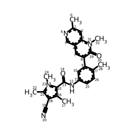 Cc1cc2c(cn1)cc(-c1cc(NC(=O)c3c(C)c(C#N)c(C)n3C)ccc1C)c(=O)n2C